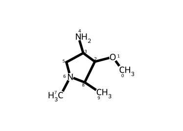 COC1C(N)CN(C)C1C